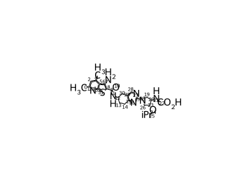 Cc1cc(C)c2c(N)c(C(=O)NC3CCc4nc(N5CC(NC(=O)O)C(OC(C)C)C5)ncc4C3)sc2n1